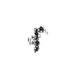 C/C(=N\NC(=O)c1ccc(C(=O)NCc2ccnn2C)s1)c1csc(-c2ccc(C(F)(F)F)cc2)c1O